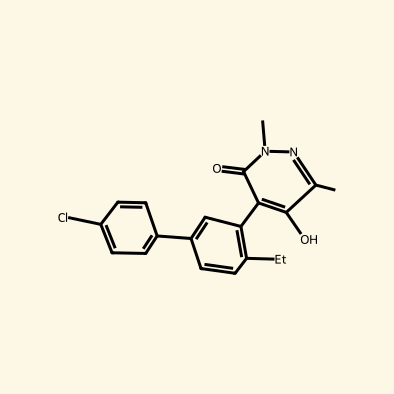 CCc1ccc(-c2ccc(Cl)cc2)cc1-c1c(O)c(C)nn(C)c1=O